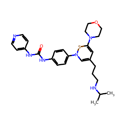 CC(C)NCCCC1=CN(c2ccc(NC(=O)Nc3ccncc3)cc2)SC(N2CCOCC2)=C1